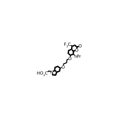 CCCc1c(OCCCOc2ccc3c(ccn3CC(=O)O)c2)ccc2c(C(F)(F)F)cc(=O)oc12